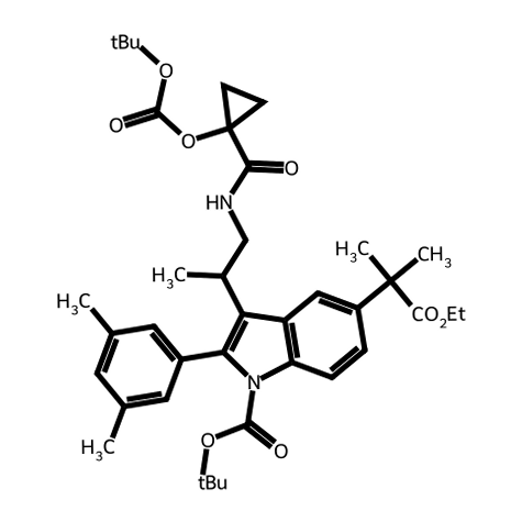 CCOC(=O)C(C)(C)c1ccc2c(c1)c(C(C)CNC(=O)C1(OC(=O)OC(C)(C)C)CC1)c(-c1cc(C)cc(C)c1)n2C(=O)OC(C)(C)C